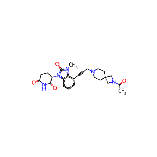 Cn1c(=O)n(C2CCC(=O)NC2=O)c2cccc(C#CCN3CCC4(CC3)CN(C(=O)C(F)(F)F)C4)c21